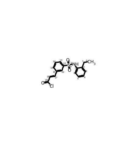 CCc1ccccc1NS(=O)(=O)c1cccc(C=CC(=O)Cl)c1